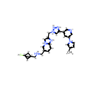 Cc1ccn(-c2cncc(-c3cn(Cc4cn5cc(CNCC67CC(F)(C6)C7)ccc5n4)nn3)c2)c1